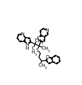 CC(CCSC(C)(c1cc2cnccc2s1)C(C)(C)c1cc2ncccc2[nH]1)c1cc2ccccc2o1